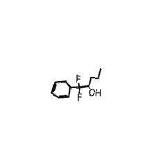 CCC[C@H](O)C(F)(F)C1C=CC=CC1